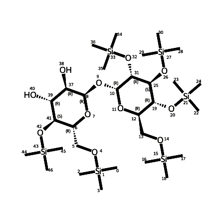 C[Si](C)(C)OC[C@H]1O[C@H](O[C@H]2O[C@H](CO[Si](C)(C)C)[C@@H](O[Si](C)(C)C)[C@H](O[Si](C)(C)C)[C@H]2O[Si](C)(C)C)[C@H](O)[C@@H](O)[C@@H]1O[Si](C)(C)C